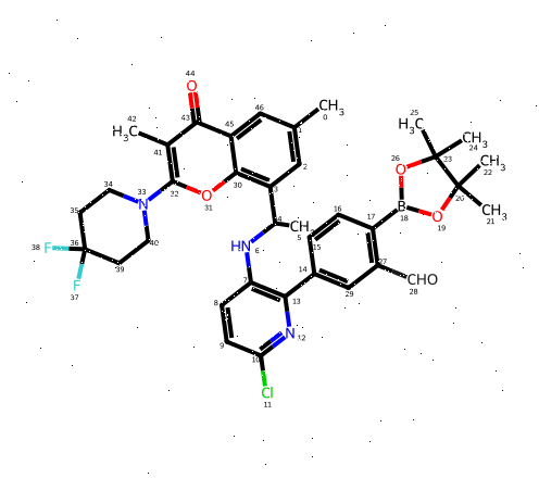 Cc1cc(C(C)Nc2ccc(Cl)nc2-c2ccc(B3OC(C)(C)C(C)(C)O3)c(C=O)c2)c2oc(N3CCC(F)(F)CC3)c(C)c(=O)c2c1